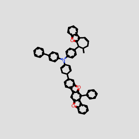 CC1CC=Cc2c(oc3ccccc23)C1c1ccc(N(C2=CCC(c3ccc4c(c3)oc3c(-c5ccccc5)c5c(cc34)oc3ccccc35)C=C2)c2ccc(-c3ccccc3)cc2)cc1